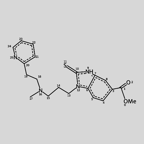 COC(=O)c1ccc2c(c1)[nH]c(=S)n2CCCN(C)CCc1ccccn1